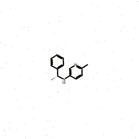 Cc1ccc(N[C@H](C)c2ccccc2)cn1